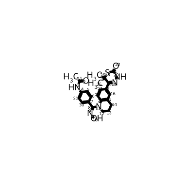 CC(=O)Nc1ccc(/C(=N/O)N2CCCc3cc(C4=NNC(=O)SC4(C)C)ccc32)cc1